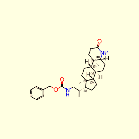 CC(CNC(=O)OCc1ccccc1)[C@H]1CC[C@H]2[C@@H]3CC[C@H]4NC(=O)CC[C@]4(C)[C@H]3CC[C@]12C